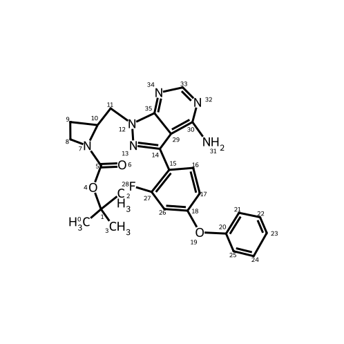 CC(C)(C)OC(=O)N1CCC1Cn1nc(-c2ccc(Oc3ccccc3)cc2F)c2c(N)ncnc21